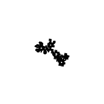 COc1cc(C(=O)N(C)CC(CCN2CCCN(c3nc4ccccc4n3Cc3ccco3)CC2)c2ccc(C)c(C)c2)cc(OC)c1OC